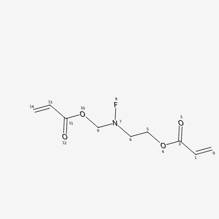 C=CC(=O)OCCN(F)COC(=O)C=C